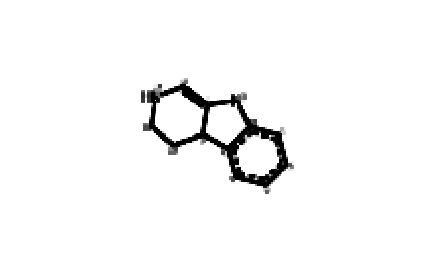 C1=C2[N]c3ccccc3C2CCN1